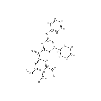 COc1cc(C(=O)N(CCN2CCOCC2)C/C(C)=C/c2ccccc2)cc(OC)c1OC